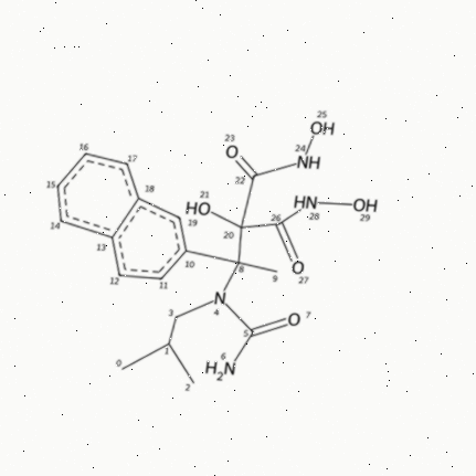 CC(C)CN(C(N)=O)C(C)(c1ccc2ccccc2c1)C(O)(C(=O)NO)C(=O)NO